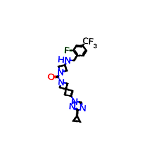 O=C(N1CC(NCc2ccc(C(F)(F)F)cc2F)C1)N1CC2(CC(n3cnc(C4CC4)n3)C2)C1